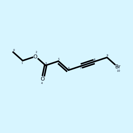 CCOC(=O)/C=C/C#CCBr